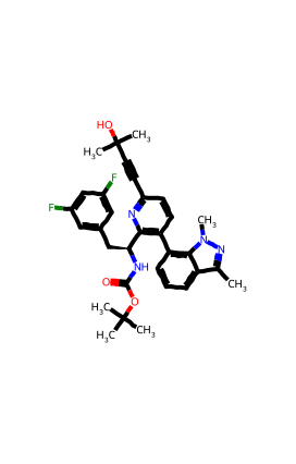 Cc1nn(C)c2c(-c3ccc(C#CC(C)(C)O)nc3[C@H](Cc3cc(F)cc(F)c3)NC(=O)OC(C)(C)C)cccc12